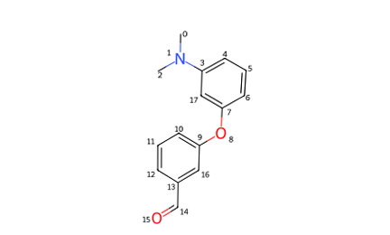 CN(C)c1cccc(Oc2cccc(C=O)c2)c1